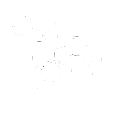 CC1=Cc2c(C(C)(C)C)ccc(C)c2[CH]1[Zr]([Cl])([Cl])([CH]1C(C)=Cc2c(C(C)(C)C)ccc(C)c21)[SiH](C)c1ccccc1